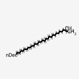 C=CC(C)CCCCCCCCCCCCCCCCCCCCCCCCCCCCCCCCCCCCC